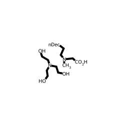 CCCCCCCCCCCCN(C)CC(=O)O.OCCN(CCO)CCO